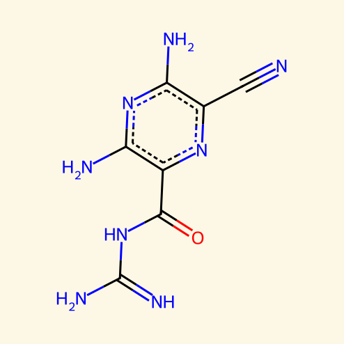 N#Cc1nc(C(=O)NC(=N)N)c(N)nc1N